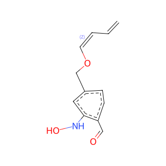 C=C/C=C\OCc1ccc(C=O)c(NO)c1